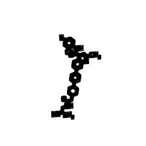 Cc1cc(C(=O)Nc2ccc(F)cc2C(F)(F)F)c2ccc(-c3ccc(C4CCC(CC(=O)NCC(=N)N)CC4)cc3)cc2n1